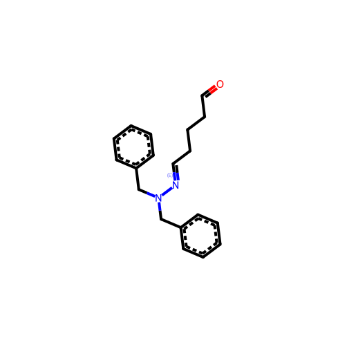 O=CCCC/C=N/N(Cc1ccccc1)Cc1ccccc1